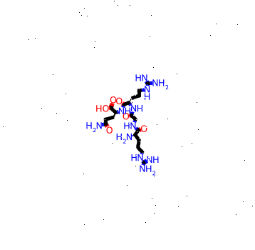 N=C(N)NCCC[C@H](NC(=O)CNC(=O)[C@@H](N)CCCNC(=N)N)C(=O)N[C@@H](CCC(N)=O)C(=O)O